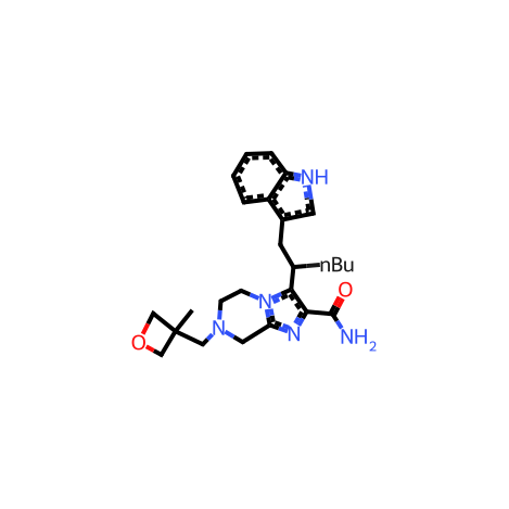 CCCCC(Cc1c[nH]c2ccccc12)c1c(C(N)=O)nc2n1CCN(CC1(C)COC1)C2